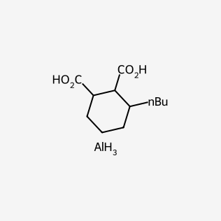 CCCCC1CCCC(C(=O)O)C1C(=O)O.[AlH3]